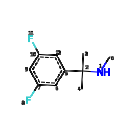 CNC(C)(C)c1cc(F)cc(F)c1